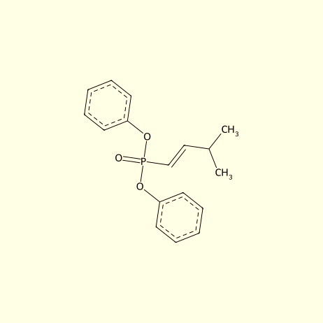 CC(C)C=CP(=O)(Oc1ccccc1)Oc1ccccc1